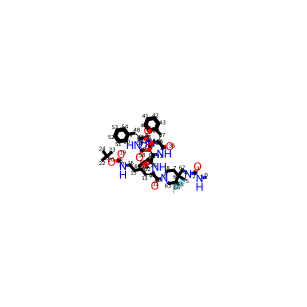 CNC(=O)N1CC2(CCN(C(=O)[C@@H](CCCCNC(=O)OC(C)(C)C)NC(=O)[C@@H](CC(C)C)NC(=O)[C@@H](Cc3ccccc3)NC(=O)[C@@H](Cc3ccccc3)NC(=O)OC(C)(C)C)CC2(F)F)C1